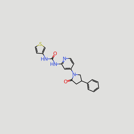 O=C(Nc1ccsc1)Nc1cc(N2CC(c3ccccc3)CC2=O)ccn1